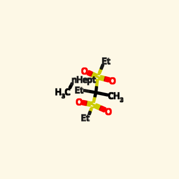 CCC(C)(S(=O)(=O)CC)S(=O)(=O)CC.CCCCCCCC